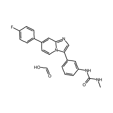 CNC(=O)Nc1cccc(-c2cnc3cc(-c4ccc(F)cc4)ccn23)c1.O=CO